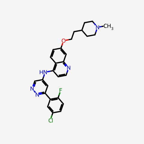 CN1CCC(CCOc2ccc3c(Nc4cnnc(-c5cc(Cl)ccc5F)c4)ccnc3c2)CC1